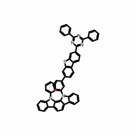 c1ccc(-c2nc(-c3ccccc3)nc(-c3ccc4c(c3)sc3cc(-c5cccc(-n6c7ccccc7c7ccc8c9ccccc9n(-c9ccccc9)c8c76)c5)ccc34)n2)cc1